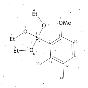 CCO[Si](OCC)(OCC)c1c(OC)ccc(C)c1C